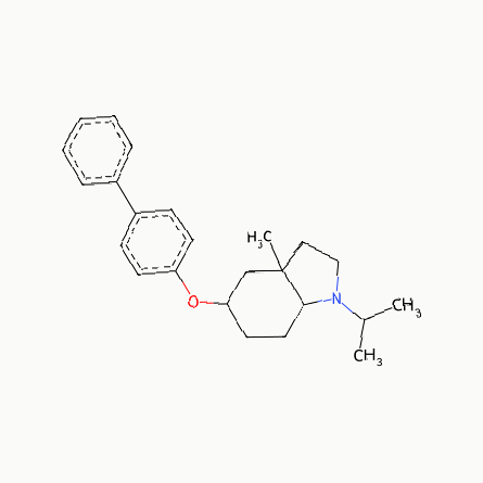 CC(C)N1CCC2(C)CC(Oc3ccc(-c4ccccc4)cc3)CCC12